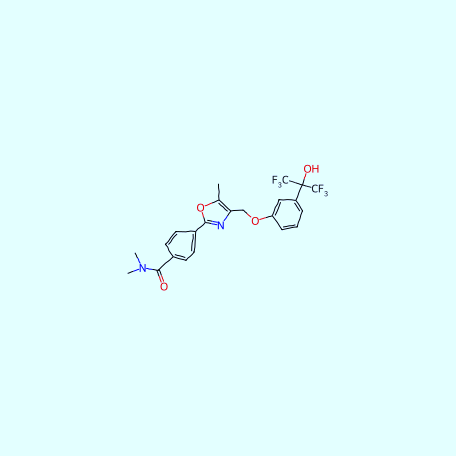 Cc1oc(-c2ccc(C(=O)N(C)C)cc2)nc1COc1cccc(C(O)(C(F)(F)F)C(F)(F)F)c1